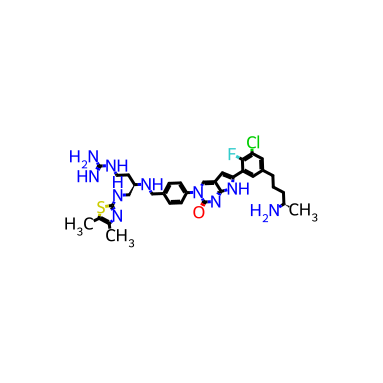 Cc1nc(NC[C@@H](CCNC(=N)N)NCc2ccc(-n3cc4cc(-c5cc(CCC[C@H](C)N)cc(Cl)c5F)[nH]c4nc3=O)cc2)sc1C